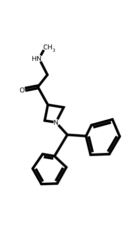 CNCC(=O)C1CN(C(c2ccccc2)c2ccccc2)C1